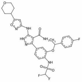 CC(Oc1cc(-c2n[nH]c(Nc3cc(C4CCOCC4)on3)c2C(N)=O)ccc1NS(=O)(=O)C(F)F)c1ccc(F)cc1